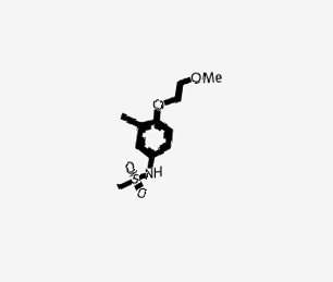 COCCOc1ccc(NS(C)(=O)=O)cc1C